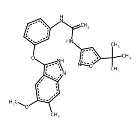 C=C(Nc1cccc(Oc2[nH]nc3cc(C)c(OC)cc23)c1)Nc1cc(C(C)(C)C)on1